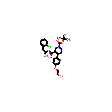 CC(Cc1ccccc1Cl)NC(=O)C1=C(c2ccc(OCCO)cc2)CCN(C(=O)OC(C)(C)C)C1